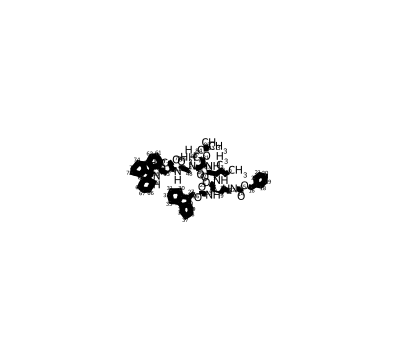 CC[C@H](C)[C@H](NC(=O)[C@@H](CCCNC(=O)OCc1ccccc1)NC(=O)OCC1c2ccccc2-c2ccccc21)C(=O)N[C@H](C(=O)NCC(=O)N[C@@H](CC(=O)NC(c1ccccc1)(c1ccccc1)c1ccccc1)C(C)=O)[C@H](C)OC(C)(C)C